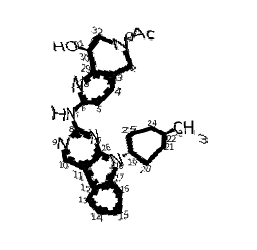 CC(=O)N1Cc2ccc(Nc3ncc4c5ccccc5n([C@H]5CC[C@H](C)CC5)c4n3)nc2[C@@H](O)C1